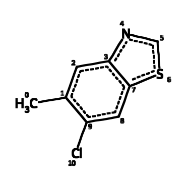 Cc1cc2ncsc2cc1Cl